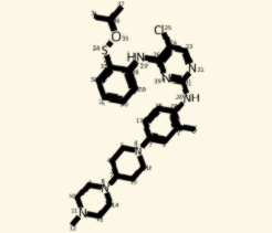 Cc1cc(N2CCC(N3CCN(C)CC3)CC2)ccc1Nc1ncc(Cl)c(Nc2ccccc2SOC(C)C)n1